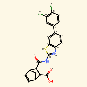 O=C(O)C1C2C=CC(C2)C1C(=O)Nc1nc2ccc(-c3ccc(Cl)c(Cl)c3)cc2s1